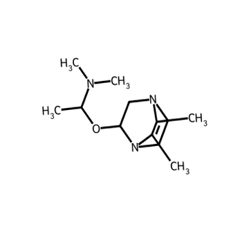 CC1=C(C)N2CCN1CC2OC(C)N(C)C